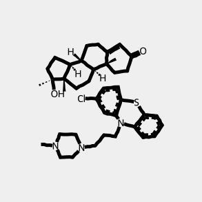 CN1CCN(CCCN2c3ccccc3Sc3ccc(Cl)cc32)CC1.C[C@]12CCC(=O)C=C1CC[C@@H]1[C@@H]2CC[C@@]2(C)[C@H]1CC[C@]2(C)O